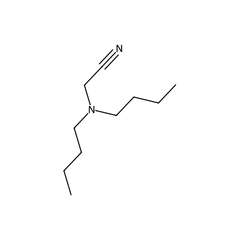 CCCCN(CC#N)CCCC